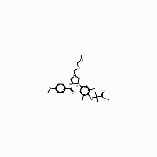 COCOCN1C[C@@H](C(=O)c2ccc(SC)cc2)[C@H](c2cc(C)c(OC(C)(C)C(=O)O)c(C)c2)C1